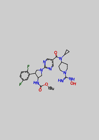 CC(C)(C)OC(=O)NC1CN(c2ncc(C(=O)N(C3CC3)C3CCN(C(=N)NO)CC3)cn2)CC1c1cc(F)ccc1F